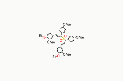 CCOc1ccc(C=CC(c2ccc(OC)cc2)S(=O)(=O)C(C=Cc2ccc(OCC)c(OC)c2)c2ccc(OC)cc2)cc1OC